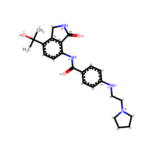 CC(C)(O)c1ccc(NC(=O)c2ccc(NCCN3CCCC3)cc2)c2c1CNC2=O